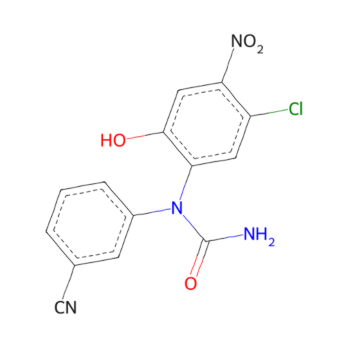 N#Cc1cccc(N(C(N)=O)c2cc(Cl)c([N+](=O)[O-])cc2O)c1